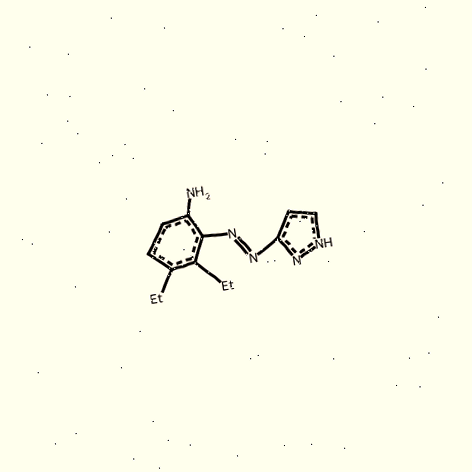 CCc1ccc(N)c(/N=N/c2cc[nH]n2)c1CC